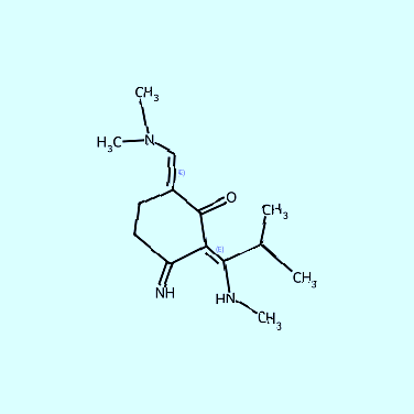 CN/C(=C1\C(=N)CC/C(=C\N(C)C)C1=O)C(C)C